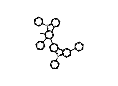 Cc1c(-c2ccccc2)c(-c2ccc3c(c2)c2cc(-c4ccccc4)ccc2n3-c2ccccc2)cc2c3ccccc3n(-c3ccccc3)c12